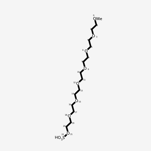 COCCOCCOCCOCCOCCOCCOCCOS(=O)(=O)O